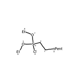 CCCCCCC[Si](Cl)(OCC)OCC